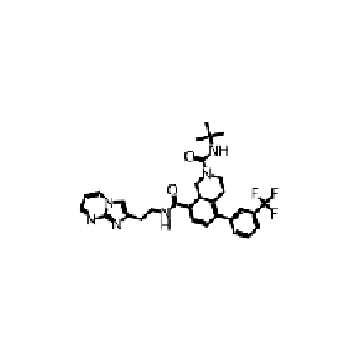 CC(C)(C)NC(=O)N1CCC2=C(c3cccc(C(F)(F)F)c3)C=CC(C(=O)NCCc3cn4cccnc4n3)C2C1